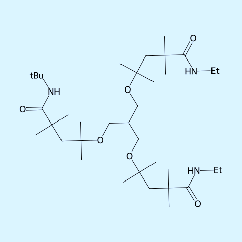 CCNC(=O)C(C)(C)CC(C)(C)OCC(COC(C)(C)CC(C)(C)C(=O)NCC)COC(C)(C)CC(C)(C)C(=O)NC(C)(C)C